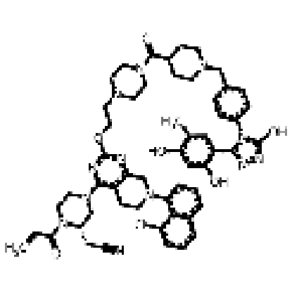 C=CC(=O)N1CCN(c2nc(OCCN3CCN(C(=O)C4CCN(Cc5ccc(-n6c(O)nnc6-c6cc(C)c(O)cc6O)cc5)CC4)CC3)nc3c2CCN(c2cccc4cccc(Cl)c24)C3)C[C@@H]1CC#N